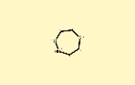 C1CSCCON1